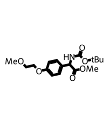 COCCOc1ccc(C(NC(=O)OC(C)(C)C)C(=O)OC)cc1